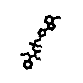 C[C@@H](C(=O)OP(N)(=O)OC[C@H]1C=C[C@@H](n2cnc3c(N)ncnc32)C1)N(OC(C)(C)C)c1ccccc1